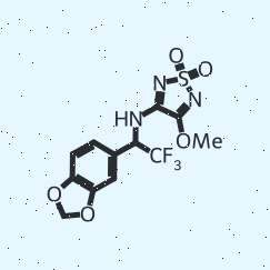 COC1=NS(=O)(=O)N=C1NC(c1ccc2c(c1)OCO2)C(F)(F)F